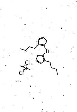 CCCCC1=[C]([Ti][C]2=C(CCCC)C=CC2)CC=C1.C[Si](C)(Cl)Cl